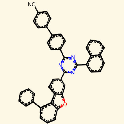 N#Cc1ccc(-c2ccc(-c3nc(-c4ccc5c(c4)oc4cccc(-c6ccccc6)c45)nc(-c4cccc5ccccc45)n3)cc2)cc1